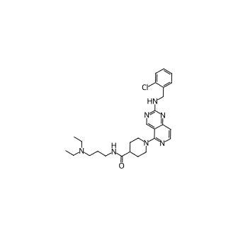 CCN(CC)CCCNC(=O)C1CCN(c2nccc3nc(NCc4ccccc4Cl)ncc23)CC1